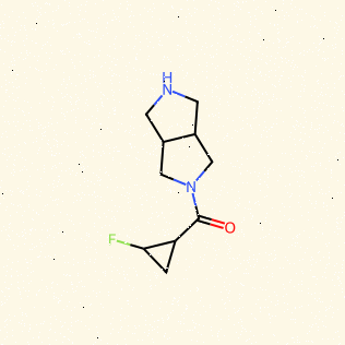 O=C(C1CC1F)N1CC2CNCC2C1